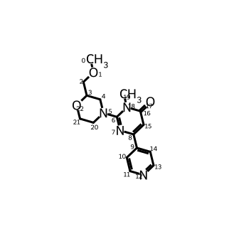 COCC1CN(c2nc(-c3ccncc3)cc(=O)n2C)CCO1